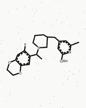 COc1cc(CC2CCCN(C(C)c3cc4c(cc3F)OCCO4)C2)cc(C)n1